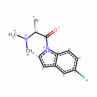 CC(C)[C@H](C(=O)n1ccc2cc(F)ccc21)N(C)C